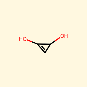 OC1=CC1O